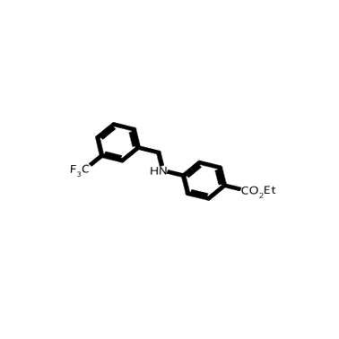 CCOC(=O)c1ccc(NCc2cccc(C(F)(F)F)c2)cc1